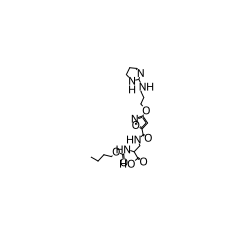 CCCCOC(=O)NC(CNC(=O)c1cc(OCCCNC2N=CCCN2)no1)C(=O)O